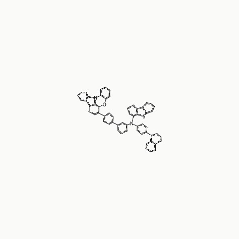 c1cc(-c2ccc(-c3ccc4c5ccccc5n5c4c3Oc3ccccc3-5)cc2)cc(N(c2ccc(-c3cccc4ccccc34)cc2)c2cccc3c2sc2ccccc23)c1